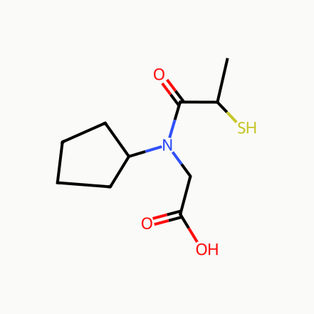 CC(S)C(=O)N(CC(=O)O)C1CCCC1